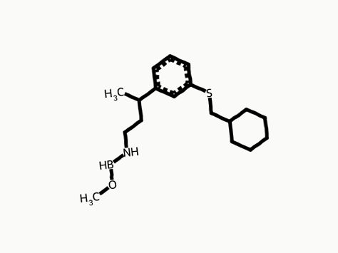 COBNCCC(C)c1cccc(SCC2CCCCC2)c1